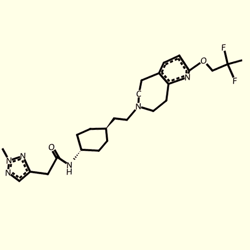 Cn1ncc(CC(=O)N[C@H]2CC[C@H](CCN3CCc4ccc(OCC(C)(F)F)nc4CC3)CC2)n1